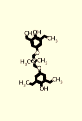 CCc1cc(OC[Si](C)(C)COc2cc(CC)c(O)c(CC)c2)cc(CC)c1O